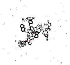 CC(=O)O.CC(C)C[C@H](NC(=O)[C@@H](Cc1ccc2ccccc2c1)NC(=O)[C@H](Cc1ccc(O)cc1)NC(=O)[C@H](CO)NC(=O)[C@H](Cc1c[nH]c2ccccc12)NC(=O)[C@H](Cc1c[nH]cn1)NC(=O)[C@@H]1CCC(=O)N1)C(=O)N[C@@H](CCCNC(=N)N)C(=O)N1CCC[C@H]1C(=O)NCC(N)=O